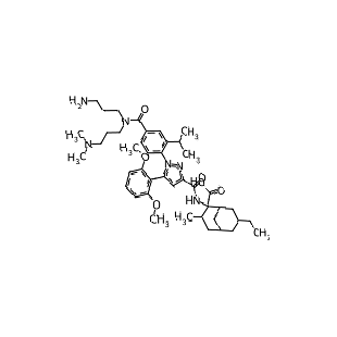 CCC1CC2CC(C)C(NC(=O)c3cc(-c4c(OC)cccc4OC)n(-c4ccc(C(=O)N(CCCN)CCCN(C)C)cc4C(C)C)n3)(C(=O)O)C(C1)C2